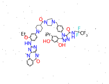 CCOc1cc(N2CCC(C(=O)N3CCN(Cc4ccc(-n5c(C(=O)NCC(F)(F)C(F)(F)F)nnc5-c5cc(C(C)C)c(O)cc5O)cc4)CC3)CC2)ccc1Nc1ncc2c(n1)N(C)c1ccccc1C(=O)N2C